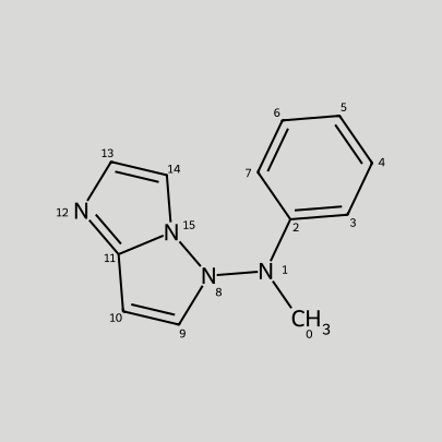 CN(c1ccccc1)n1ccc2nccn21